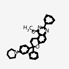 COc1nc(-c2ccccc2)nc2ccc3c(c12)C=CC(c1ccccc1)(c1ccc(N2CCCCC2)cc1)O3